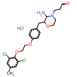 Cc1cc(Cl)c(OCCOc2ccc(CC3OCCN(CCC=O)C3N)cc2)c(Cl)c1.Cl